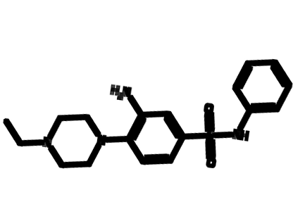 CCN1CCN(c2ccc(S(=O)(=O)Nc3ccccc3)cc2N)CC1